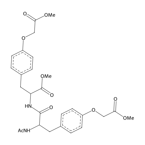 COC(=O)COc1ccc(CC(NC(C)=O)C(=O)NC(Cc2ccc(OCC(=O)OC)cc2)C(=O)OC)cc1